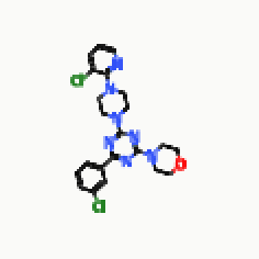 Clc1cccc(-c2nc(N3CCOCC3)nc(N3CCN(c4ncccc4Cl)CC3)n2)c1